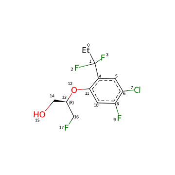 CCC(F)(F)c1cc(Cl)c(F)cc1O[C@H](CO)CF